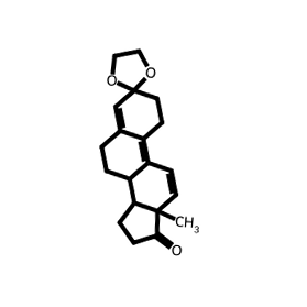 CC12C=CC3=C4CCC5(C=C4CCC3C1CCC2=O)OCCO5